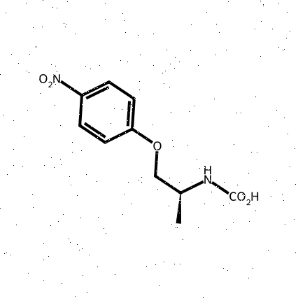 C[C@@H](COc1ccc([N+](=O)[O-])cc1)NC(=O)O